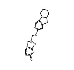 O=c1ccn2c(n1)O[C@H](COc1ccc3c(c1)CC1CCCCC31)C2